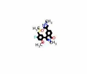 COc1cc(F)c(C[S+](C)[O-])cc1-c1cn(C)c(=O)c2ccc(-c3cnn(C)c3)cc12